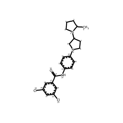 CC1CCCN1C1CCN(c2ccc(NC(=O)c3cc(Cl)cc(Cl)c3)cc2)C1